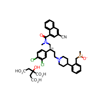 CN(C[C@@H](CCN1CCC(c2ccccc2C[S+](C)[O-])CC1)c1ccc(Cl)c(Cl)c1)C(=O)c1cc(C#N)cc2ccccc12.O=C(O)CC(O)(CC(=O)O)C(=O)O